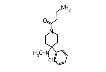 CN(C)C1(c2ccccc2)CCN(C(=O)CCN)CC1